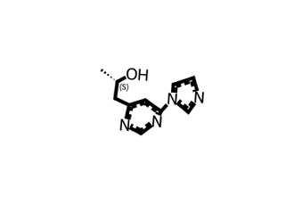 C[C@H](O)Cc1cc(-n2ccnc2)ncn1